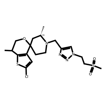 CC1COC2(CCN(Cc3cn(CCS(C)(=O)=O)nn3)[C@@H](C)C2)c2cc(Cl)sc21